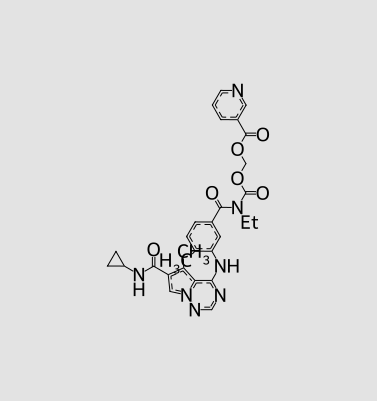 CCN(C(=O)OCOC(=O)c1cccnc1)C(=O)c1ccc(C)c(Nc2ncnn3cc(C(=O)NC4CC4)c(C)c23)c1